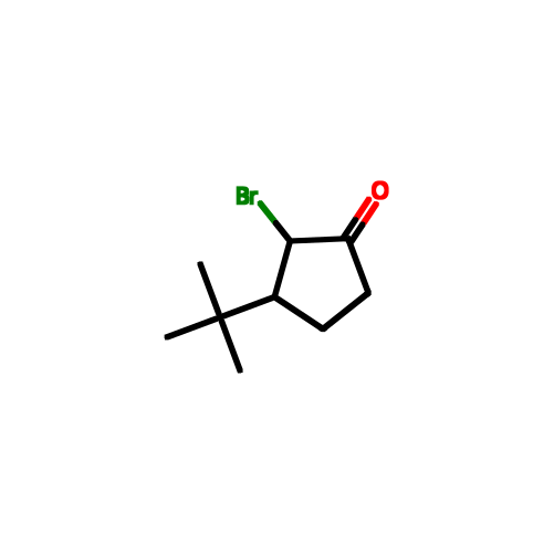 CC(C)(C)C1CCC(=O)C1Br